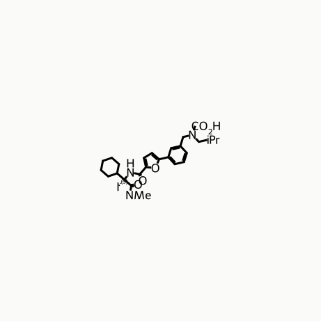 CNC(=O)[C@](I)(NC(=O)c1ccc(-c2cccc(CN(CC(C)C)C(=O)O)c2)o1)C1CCCCC1